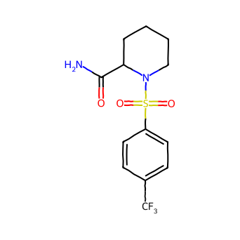 NC(=O)C1CCCCN1S(=O)(=O)c1ccc(C(F)(F)F)cc1